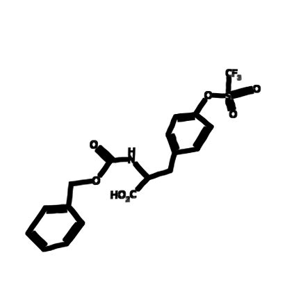 O=C(NC(Cc1ccc(OS(=O)(=O)C(F)(F)F)cc1)C(=O)O)OCc1ccccc1